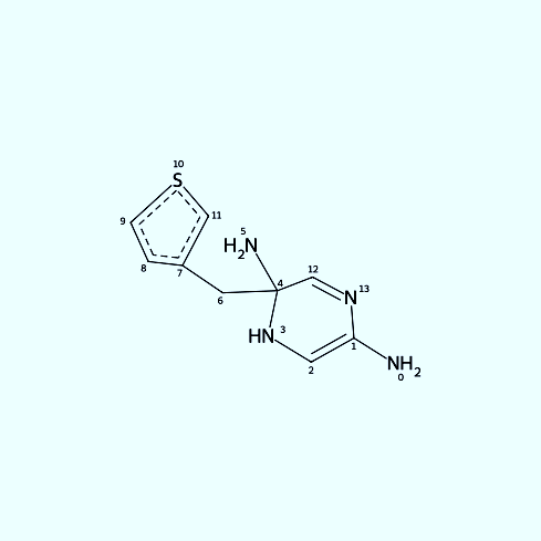 NC1=CNC(N)(Cc2ccsc2)C=N1